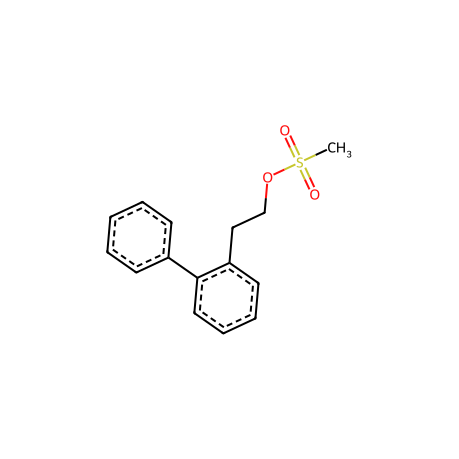 CS(=O)(=O)OCCc1ccccc1-c1ccccc1